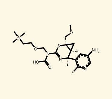 COC[C@]12C[C@H]1[C@@](C)(c1cc(N)cnc1F)N=C(N(COCC[Si](C)(C)C)C(=O)O)S2